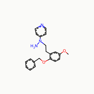 COc1ccc(OCc2ccccc2)c(CCN(N)c2ccncc2)c1